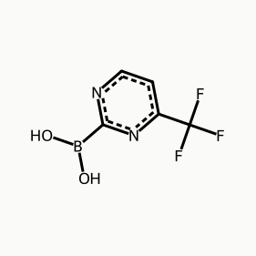 OB(O)c1nccc(C(F)(F)F)n1